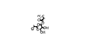 CCC(=O)OC(OC(=O)C[O])C(O)CO